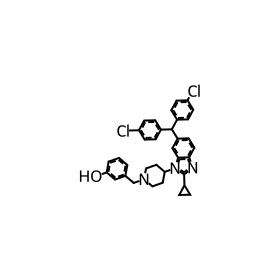 Oc1cccc(CN2CCC(n3c(C4CC4)nc4ccc(C(c5ccc(Cl)cc5)c5ccc(Cl)cc5)cc43)CC2)c1